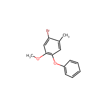 COc1cc(Br)c(C)cc1Oc1ccccc1